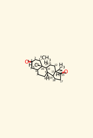 C[C@H]1CC(=O)CC2CC[C@@H]3[C@H](CC[C@]4(C)C(=O)CC[C@@H]34)[C@]21C